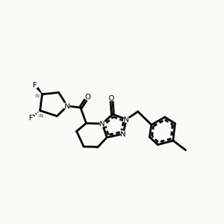 Cc1ccc(Cn2nc3n(c2=O)C(C(=O)N2C[C@H](F)[C@@H](F)C2)CCC3)cc1